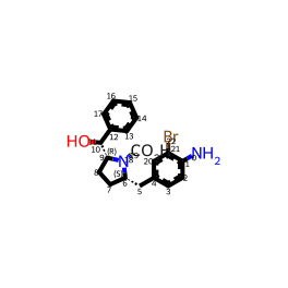 Nc1ccc(C[C@@H]2CC[C@H](C(O)c3ccccc3)N2C(=O)O)cc1Br